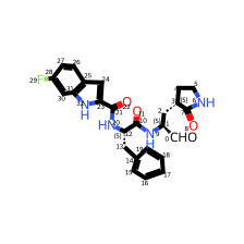 O=C[C@H](C[C@@H]1CCNC1=O)NC(=O)[C@H](Cc1ccccc1)NC(=O)c1cc2ccc(F)cc2[nH]1